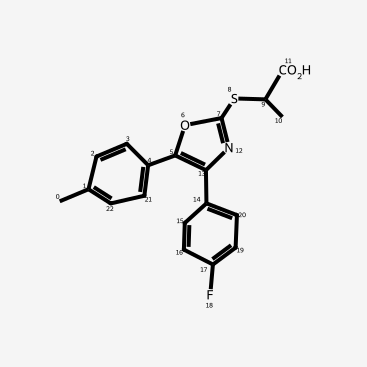 Cc1ccc(-c2oc(SC(C)C(=O)O)nc2-c2ccc(F)cc2)cc1